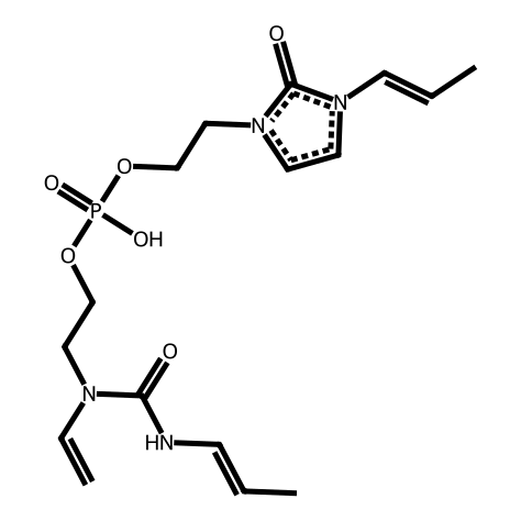 C=CN(CCOP(=O)(O)OCCn1ccn(/C=C/C)c1=O)C(=O)N/C=C/C